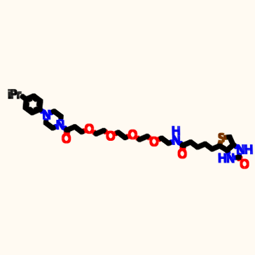 CC(C)c1ccc(N2CCN(C(=O)CCOCCOCCOCCOCCNC(=O)CCCCC3SCC4NC(=O)NC43)CC2)cc1